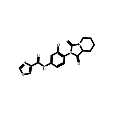 O=C(Nc1ccc(N2C(=O)C3CCCCN3C2=S)c(Cl)c1)c1cscn1